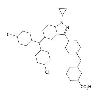 O=C(O)C1CCCC(CN2CCC(C3=NN(C4CC4)C4CCC(C(C5CCC(Cl)CC5)C5CCC(Cl)CC5)CC34)CC2)C1